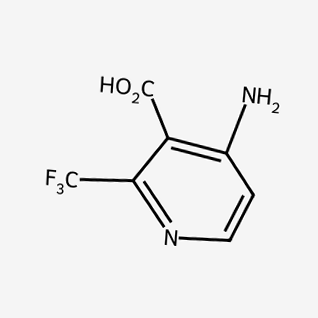 Nc1ccnc(C(F)(F)F)c1C(=O)O